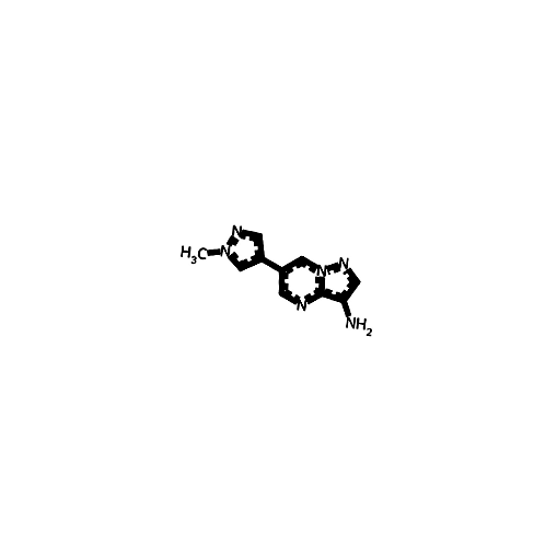 Cn1cc(-c2cnc3c(N)cnn3c2)cn1